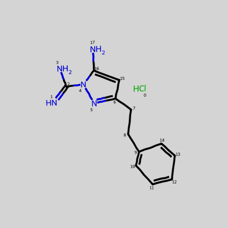 Cl.N=C(N)n1nc(CCc2ccccc2)cc1N